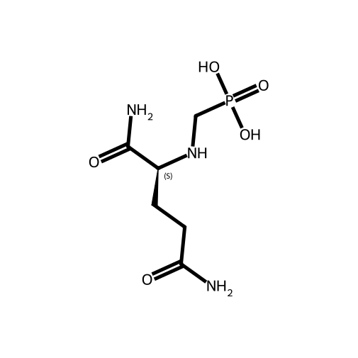 NC(=O)CC[C@H](NCP(=O)(O)O)C(N)=O